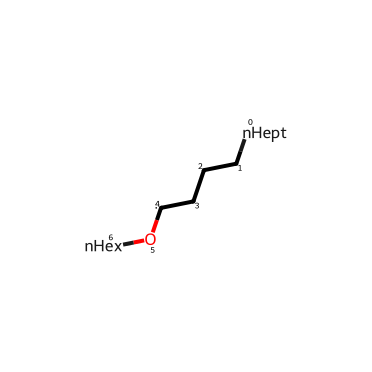 CCCCCCCCCC[CH]OCCCCCC